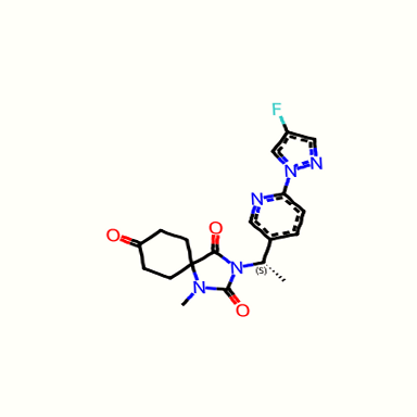 C[C@@H](c1ccc(-n2cc(F)cn2)nc1)N1C(=O)N(C)C2(CCC(=O)CC2)C1=O